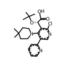 CC1(C)CCN(c2c(-c3ccccn3)cnc(Cl)c2[C@H](OC(C)(C)C)C(=O)O)CC1